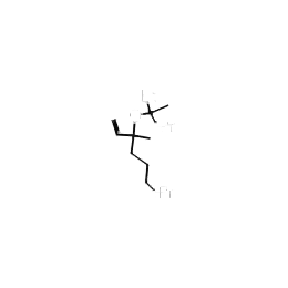 C=CC(C)(CCCC(C)C)OC(C)(CC)C(C)C